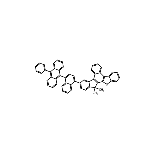 CC1(C)c2ccc(-c3ccc(-c4c5ccccc5c(-c5ccccc5)c5ccccc45)c4ccccc34)cc2-c2c1c1sc3ccccc3c1c1ccccc21